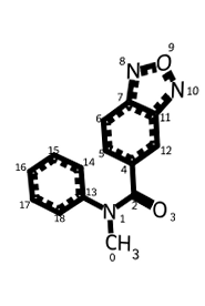 CN(C(=O)c1ccc2nonc2c1)c1ccccc1